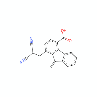 C=C1c2ccccc2-c2c(C(=O)O)ccc(CC(C#N)C#N)c21